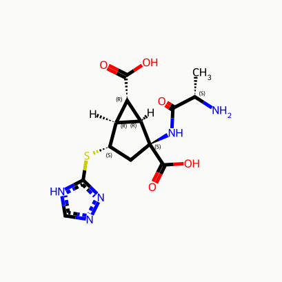 C[C@H](N)C(=O)N[C@@]1(C(=O)O)C[C@H](Sc2nnc[nH]2)[C@H]2[C@H](C(=O)O)[C@H]21